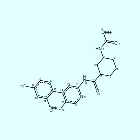 COC(=O)NC1CCCC(C(=O)Nc2cc(-c3ccc(F)cc3OC)c(F)cn2)C1